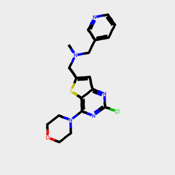 CN(Cc1cccnc1)Cc1cc2nc(Cl)nc(N3CCOCC3)c2s1